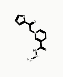 CNNC(=O)C1=CN(CC(=O)c2ccco2)C=CC1